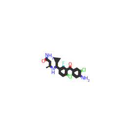 C[C@@H](CC(N)=O)NC(c1ccc(Cl)c(C(=O)c2ccc(N)c(Cl)c2)c1F)C1CC1